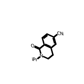 CC(C)N1CCc2cc(C#N)ccc2C1=O